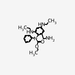 CCNc1cc(CN)c(N(C(=O)OCC)c2ccccc2)c(NCC)c1